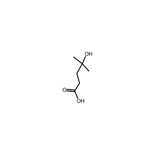 CC(C)(O)CCC(=O)O